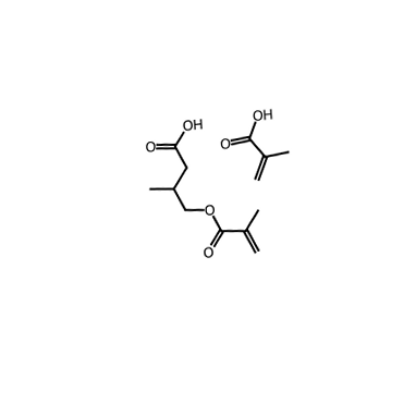 C=C(C)C(=O)O.C=C(C)C(=O)OCC(C)CC(=O)O